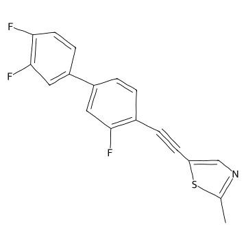 Cc1ncc(C#Cc2ccc(-c3ccc(F)c(F)c3)cc2F)s1